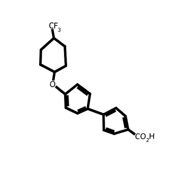 O=C(O)c1ccc(-c2ccc(OC3CCC(C(F)(F)F)CC3)cc2)cc1